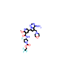 COc1ncc(-c2cc(CN3CCOCC3)c3c(N)ncnn23)cc1C(=O)N[C@@H]1CN(C(=O)OCC(F)(F)F)C[C@@H]1F